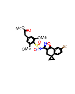 COC(=O)Cc1cc(OC)c(S(=O)(=O)Nc2noc3c2CC2(CC2)c2ccc(Br)cc2-3)c(OC)c1